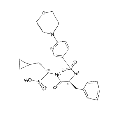 O=C(N[C@@H](CC1CC1)S(=O)O)[C@H](Cc1ccccc1)NS(=O)(=O)c1ccc(N2CCOCC2)nc1